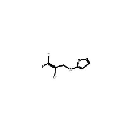 FC(F)=C(Br)CSc1cccs1